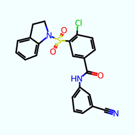 N#Cc1cccc(NC(=O)c2ccc(Cl)c(S(=O)(=O)N3CCc4ccccc43)c2)c1